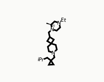 CCN1CCN(CC2CC3(CCN(CC4(CC(C)C)CC4)CC3)C2)[C@@H](C)C1